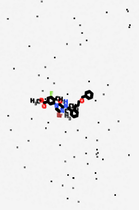 COC(=O)c1cc(F)c(C)c(-n2cc(Br)nc(NC(C)(C)c3ccccc3CCCOCc3ccccc3)c2=O)c1